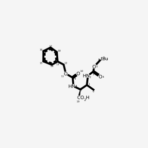 CC(NC(=O)OC(C)(C)C)[C@H](NC(=O)OCc1ccccc1)C(=O)O